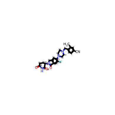 Cc1cc(C#N)ccc1CN1CCN(c2cc3c(cc2F)C(=O)N(C2CCC(=O)NC2=O)C3)CC1